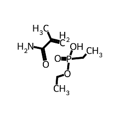 C=C(C)C(N)=O.CCOP(=O)(O)CC